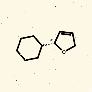 C1=C[C@@H](C2CCCCC2)OC1